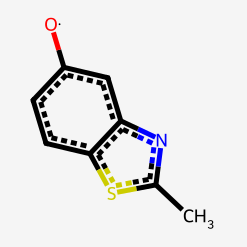 Cc1nc2cc([O])ccc2s1